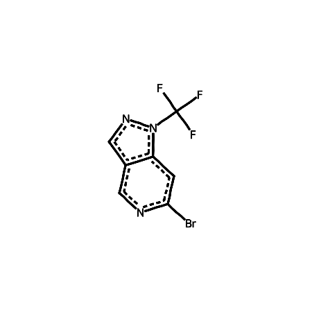 FC(F)(F)n1ncc2cnc(Br)cc21